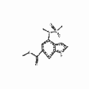 COC(=O)c1cc(N(C)S(C)(=O)=O)c2cc[nH]c2c1